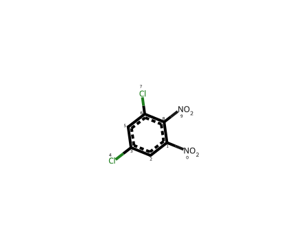 O=[N+]([O-])c1cc(Cl)cc(Cl)c1[N+](=O)[O-]